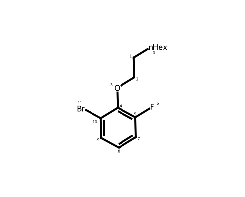 CCCCCCCCOc1c(F)[c]ccc1Br